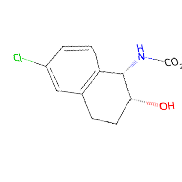 O=C(O)N[C@H]1c2ccc(Cl)cc2CC[C@H]1O